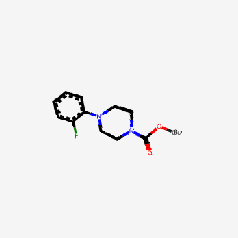 CC(C)(C)OC(=O)N1CCN(c2c[c]ccc2F)CC1